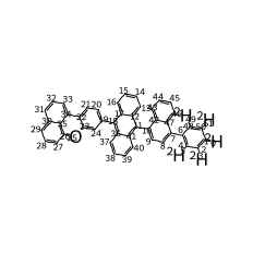 [2H]c1c([2H])c([2H])c(-c2ccc(-c3c4ccccc4c(-c4ccc5c(c4)Oc4cccc6cccc-5c46)c4ccccc34)c3ccccc23)c([2H])c1[2H]